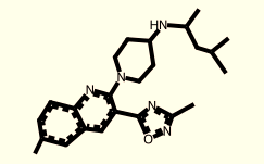 Cc1ccc2nc(N3CCC(NC(C)CC(C)C)CC3)c(-c3nc(C)no3)cc2c1